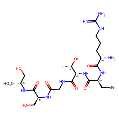 CC(C)C[C@H](NC(=O)[C@@H](N)CCCNC(=N)N)C(=O)N[C@H](C(=O)NCC(=O)N[C@@H](CO)C(=O)N[C@@H](CO)C(=O)O)[C@H](C)O